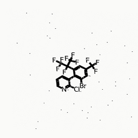 FC(F)(F)c1[c]c(Br)c(-c2cccnc2Cl)c(C(F)(C(F)(F)F)C(F)(F)F)c1